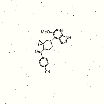 COc1cnc2[nH]ccc2c1N1CCN(C(=O)c2ccc(C#N)cc2)C2(CC2)C1